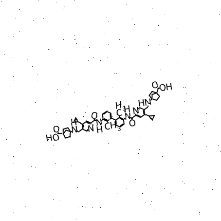 Cc1c(NC(=O)c2cc(C3CC3)c(CNC34CCC(C(=O)O)(CC3)C4)cn2)cccc1-c1cccc(NC(=O)c2cc(C3CC3)c(CNC34CCC(C(=O)O)(CC3)C4)cn2)c1C